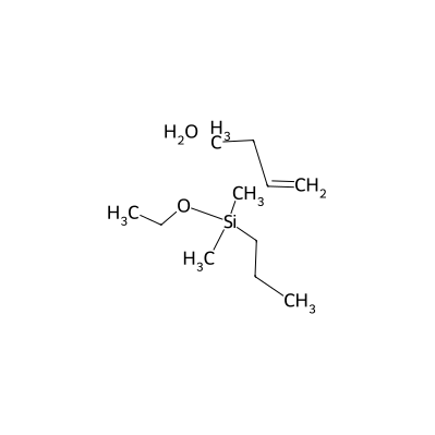 C=CCC.CCC[Si](C)(C)OCC.O